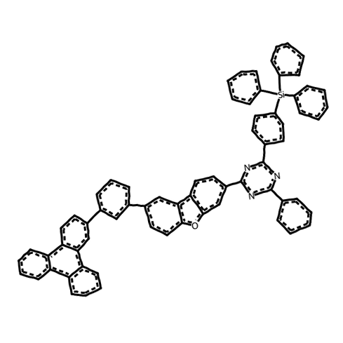 c1ccc(-c2nc(-c3ccc([Si](c4ccccc4)(c4ccccc4)c4ccccc4)cc3)nc(-c3ccc4c(c3)oc3ccc(-c5cccc(-c6ccc7c8ccccc8c8ccccc8c7c6)c5)cc34)n2)cc1